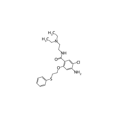 CCN(CC)CCNC(=O)c1cc(Cl)c(N)cc1OCCSc1ccccc1